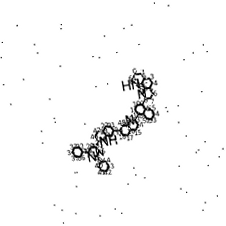 C1=Cc2ccc3ccc(-c4ccc(-c5ccc6ccc(-c7ccc8c(c7)NC(c7cc(-c9ccccc9)nc(-c9ccccc9)n7)C=C8)cc6n5)c5ccccc45)nc3c2NC1